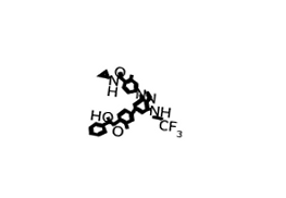 Cc1cc(-n2cnc3c(NCCC(F)(F)F)cc(-c4ccc(C(=O)C(O)c5ccccc5)c(C)c4)cc32)ccc1C(=O)NC1CC1